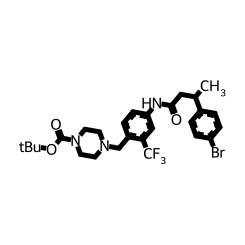 CC(CC(=O)Nc1ccc(CN2CCN(C(=O)OC(C)(C)C)CC2)c(C(F)(F)F)c1)c1ccc(Br)cc1